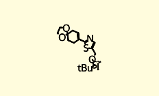 CC(C)(C)[Si](C)(C)OCc1cnc(C2=CCC3(CC2)OCCO3)s1